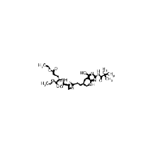 CCOC(=O)CC[C@@H](NC(=O)c1cnc(CCC2CNc3nc(NC(=O)C(C)(C)C)nc(O)c3C2)s1)C(=O)OCC